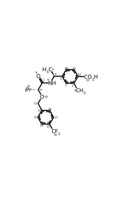 Cc1cc([C@H](C)NC(=O)[C@H](OCc2ccc(C(F)(F)F)cc2)C(C)C)ccc1C(=O)O